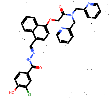 O=C(N/N=C/c1ccc(OCC(=O)N(Cc2ccccn2)Cc2ccccn2)c2ccccc12)c1ccc(O)c(Cl)c1